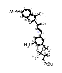 CSc1ccc2c(C)c(C(=O)/C=C/c3cc(C)c(OC(C)(C)C(=O)OC(C)(C)C)c(C)c3)oc2c1